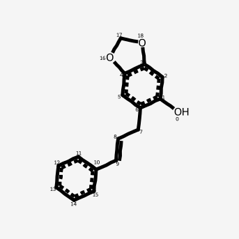 Oc1cc2c(cc1CC=Cc1ccccc1)OCO2